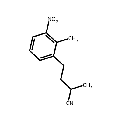 Cc1c(CCC(C)C#N)cccc1[N+](=O)[O-]